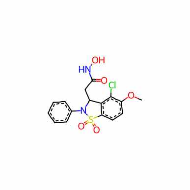 COc1ccc2c(c1Cl)C(CC(=O)NO)N(c1ccccc1)S2(=O)=O